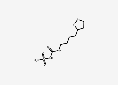 NS(=O)(=O)NC(=O)NCCCCC1CCSS1